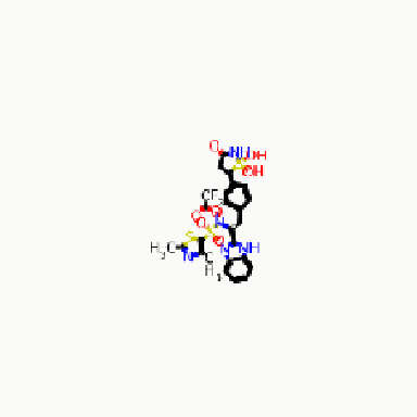 Cc1nc(C)c(S(=O)(=O)N(OC(=O)C(F)(F)F)[C@@H](Cc2ccc(C3CC(=O)NS3(O)O)cc2)c2nc3ccccc3[nH]2)s1